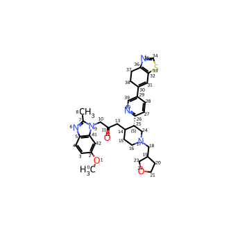 COc1ccc2nc(C)n(CC(=O)CC3CCN(CC4CCOC4)C[C@H]3c3ccc(C4=Cc5scnc5CC4)cn3)c2c1